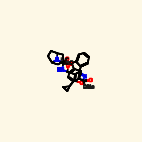 COC(=O)c1ccc(NC(=O)N2C3CCC2CC(OCc2c(-c4ccccc4OC(F)(F)F)noc2C2CC2)C3)c(OC)c1